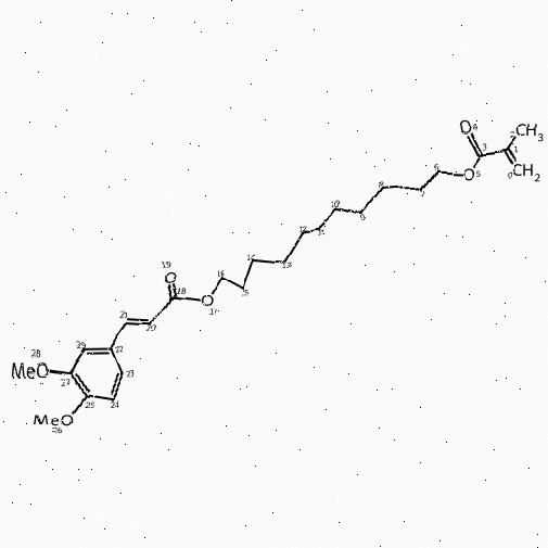 C=C(C)C(=O)OCCCCCCCCCCCOC(=O)/C=C/c1ccc(OC)c(OC)c1